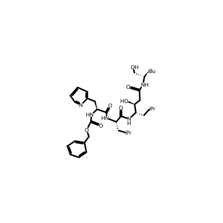 CC[C@H](C)[C@@H](CO)NC(=O)C[C@H](O)[C@H](CC(C)C)NC(=O)[C@H](CC(C)C)NC(=O)[C@H](Cc1ccccn1)NC(=O)OCc1ccccc1